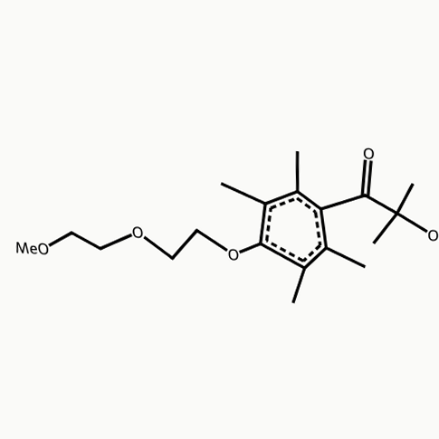 COCCOCCOc1c(C)c(C)c(C(=O)C(C)(C)O)c(C)c1C